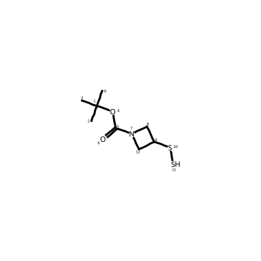 CC(C)(C)OC(=O)N1CC(SS)C1